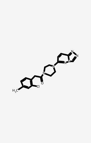 Cc1ccc(CC(=O)N2CCN(c3ccc4nncn4n3)CC2)c(Cl)c1